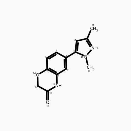 Cc1cc(-c2ccc3c(c2)NC(=O)CO3)n(C)n1